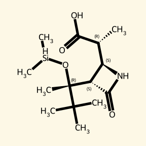 C[C@@H](C(=O)O)[C@H]1NC(=O)[C@@H]1[C@@](C)(O[SiH](C)C)C(C)(C)C